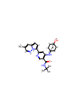 [2H]C([2H])([2H])NC(=O)c1cnc(-c2ccc3cc(C#N)cnn23)cc1NC12CCC(O)(CC1)CC2